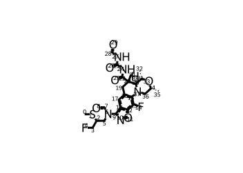 CSC(CF)CN(C=O)c1noc2c(F)c3c(cc12)CC(C)(C(=O)NC(=O)NC=O)[C@H]1[C@H](C)O[C@H](C)CN31